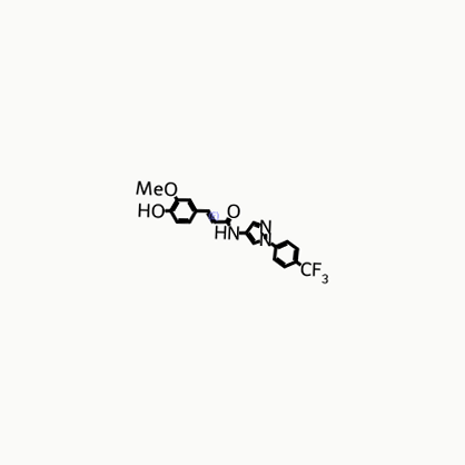 COc1cc(/C=C/C(=O)Nc2cnn(-c3ccc(C(F)(F)F)cc3)c2)ccc1O